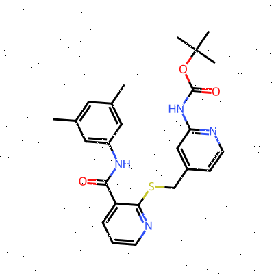 Cc1cc(C)cc(NC(=O)c2cccnc2SCc2ccnc(NC(=O)OC(C)(C)C)c2)c1